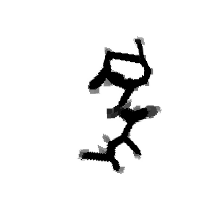 Cc1ccc(NC(=O)C(C)CC(C)C)c(C)c1